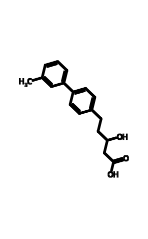 Cc1cccc(-c2ccc(CCC(O)CC(=O)O)cc2)c1